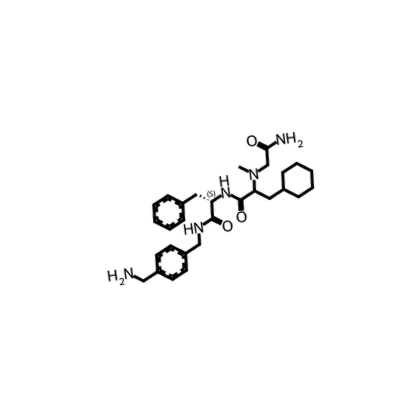 CN(CC(N)=O)C(CC1CCCCC1)C(=O)N[C@@H](Cc1ccccc1)C(=O)NCc1ccc(CN)cc1